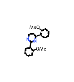 COc1ccccc1-c1ccnc(-c2ccccc2OC)n1